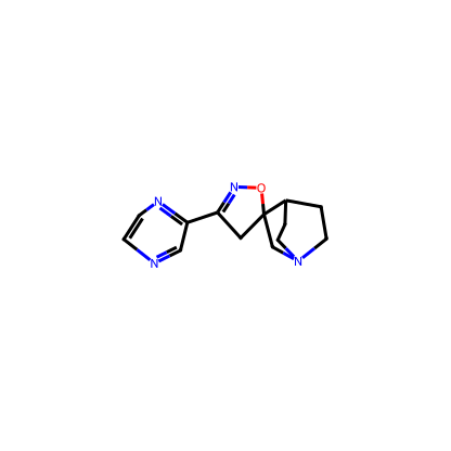 c1cnc(C2=NOC3(C2)CN2CCC3CC2)cn1